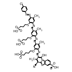 Cc1cc(N=Nc2cc(SCCCS(=O)(=O)O)c(N=Nc3cc(OCCCCS(=O)(=O)O)c(N=Nc4c(C)c(C#N)c5nc6cc(S(=O)(=O)O)ccc6n5c4O)cc3C)cc2C)c(SCCCS(=O)(=O)O)cc1N=Nc1ccc(Cl)cc1